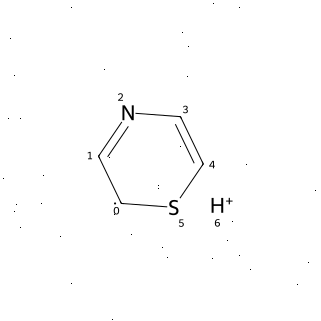 [CH]1C=NC=CS1.[H+]